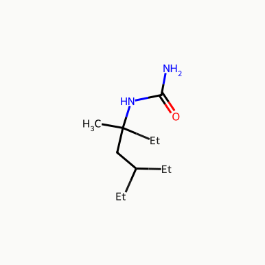 CCC(CC)CC(C)(CC)NC(N)=O